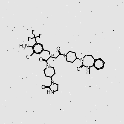 Nc1c(Cl)cc(C[C@@H](CC(=O)N2CCC(N3CCc4ccccc4NC3=O)CC2)C(=O)N2CCC(N3CCNC3=O)CC2)cc1C(F)(F)F